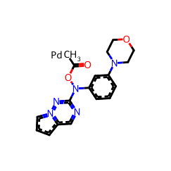 CC(=O)ON(c1cccc(N2CCOCC2)c1)c1ncc2cccn2n1.[Pd]